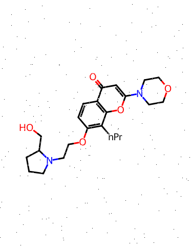 CCCc1c(OCCN2CCCC2CO)ccc2c(=O)cc(N3CCOCC3)oc12